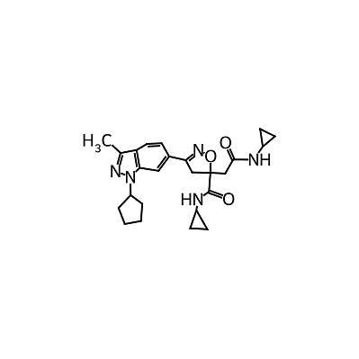 Cc1nn(C2CCCC2)c2cc(C3=NOC(CC(=O)NC4CC4)(C(=O)NC4CC4)C3)ccc12